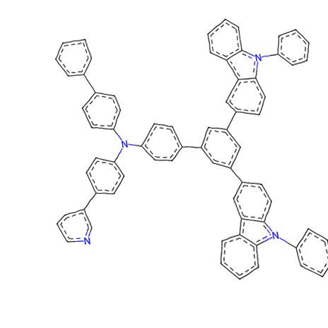 c1ccc(-c2ccc(N(c3ccc(-c4cccnc4)cc3)c3ccc(-c4cc(-c5ccc6c(c5)c5ccccc5n6-c5ccccc5)cc(-c5ccc6c(c5)c5ccccc5n6-c5ccccc5)c4)cc3)cc2)cc1